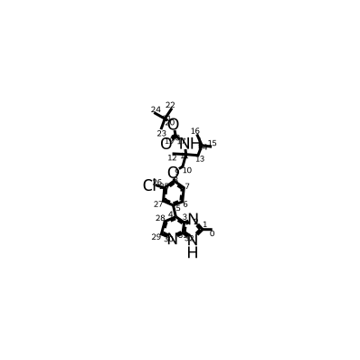 Cc1nc2c(-c3ccc(OCC(C)(CC(C)C)NC(=O)OC(C)(C)C)c(Cl)c3)ccnc2[nH]1